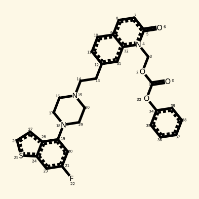 O=C(OCn1c(=O)ccc2ccc(CCN3CCN(c4cc(F)cc5sccc45)CC3)cc21)Oc1ccccc1